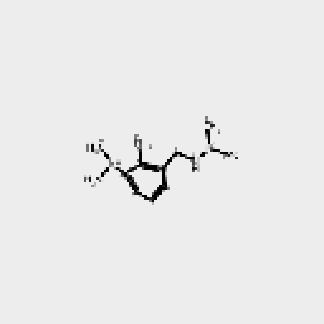 CC(=O)N(C)NCc1cccc(N(C)N)c1N